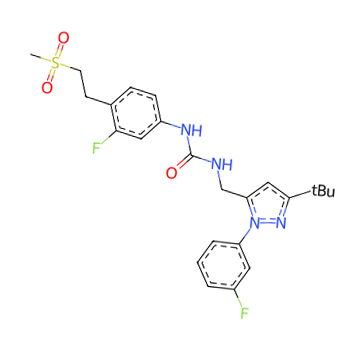 CC(C)(C)c1cc(CNC(=O)Nc2ccc(CCS(C)(=O)=O)c(F)c2)n(-c2cccc(F)c2)n1